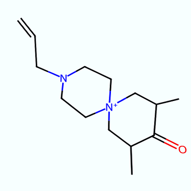 C=CCN1CC[N+]2(CC1)CC(C)C(=O)C(C)C2